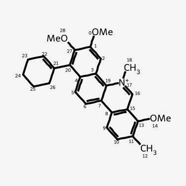 COc1cc2c(ccc3c4ccc(C)c(OC)c4c[n+](C)c23)c(C2=CCCCC2)c1OC